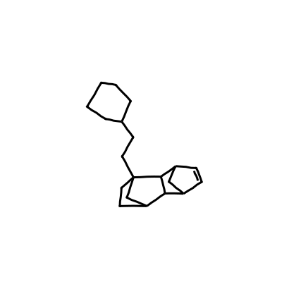 C1=CC2CC1C1C3CCC(CCC4CCCCC4)(C3)C21